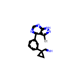 CCc1n[nH]c2ncnc(-c3cccc(C4(C=N)CC4)c3)c12